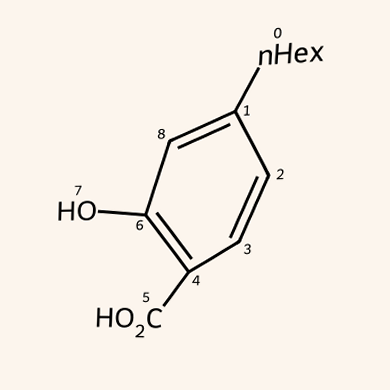 CCCCCCc1ccc(C(=O)O)c(O)c1